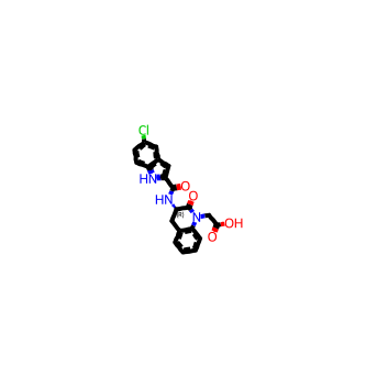 O=C(O)CN1C(=O)[C@H](NC(=O)c2cc3cc(Cl)ccc3[nH]2)Cc2ccccc21